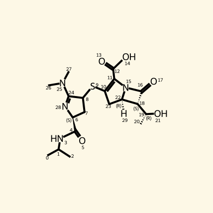 CC(C)NC(=O)[C@@H]1CC(SC2=C(C(=O)O)N3C(=O)[C@H]([C@@H](C)O)[C@H]3C2)C(N(C)C)=N1